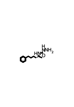 NNC1N[C@@H](CCCCc2ccccc2)CO1